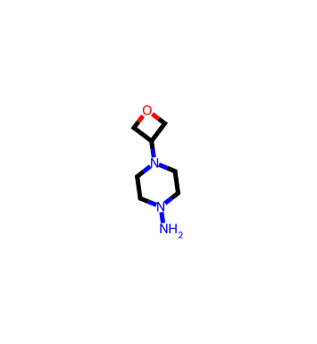 NN1CCN(C2COC2)CC1